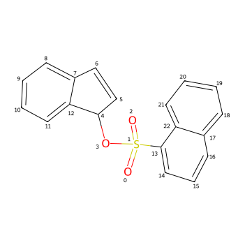 O=S(=O)(OC1C=Cc2ccccc21)c1cccc2ccccc12